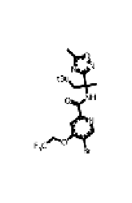 Cc1nc(C(C)(CC(C)(C)C)NC(=O)c2cc(OCC(F)(F)F)c(Br)cn2)no1